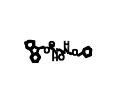 O=C(CNC(=O)OCC1c2ccccc2-c2ccccc21)NCOCc1ccccc1